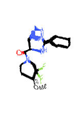 CO[C@H]1CCN(C(=O)C2CNC(C3CCCC3)N2)CC1(F)F